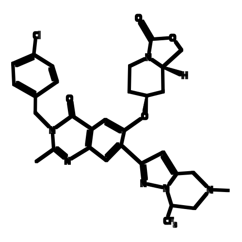 Cc1nc2cc(-c3cc4n(n3)C(C(F)(F)F)CN(C)C4)c(O[C@H]3CCN4C(=O)OC[C@@H]4C3)cc2c(=O)n1Cc1ccc(Cl)cc1